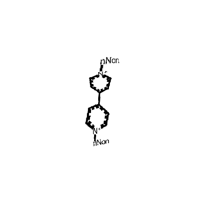 CCCCCCCCC[n+]1ccc(-c2cc[n+](CCCCCCCCC)cc2)cc1